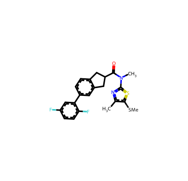 CSc1sc(N(C)C(=O)C2Cc3ccc(-c4cc(F)ccc4F)cc3C2)nc1C